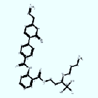 C=CCC1=CC=C(c2ccc(C(=O)Oc3ccccc3C(=O)OCCC(OCCCC)C(F)(F)F)cc2)C(=O)C1